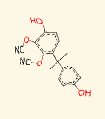 CC(C)(c1ccc(O)cc1)c1ccc(O)c(OC#N)c1OC#N